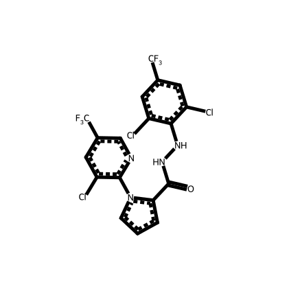 O=C(NNc1c(Cl)cc(C(F)(F)F)cc1Cl)c1cccn1-c1ncc(C(F)(F)F)cc1Cl